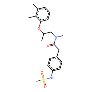 Cc1cccc(OC(C)CN(C)C(=O)Cc2ccc(NS(C)(=O)=O)cc2)c1C